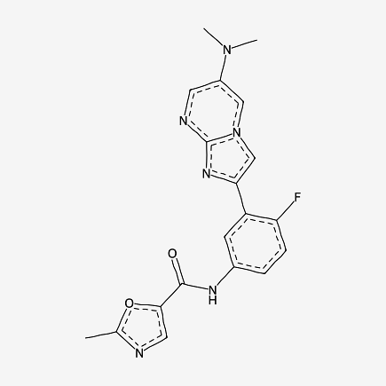 Cc1ncc(C(=O)Nc2ccc(F)c(-c3cn4cc(N(C)C)cnc4n3)c2)o1